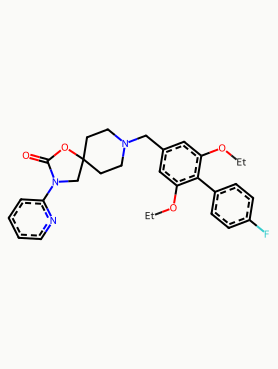 CCOc1cc(CN2CCC3(CC2)CN(c2ccccn2)C(=O)O3)cc(OCC)c1-c1ccc(F)cc1